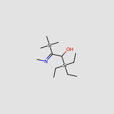 CC[Si](CC)(CC)C(O)C(=NC)[Si](C)(C)C